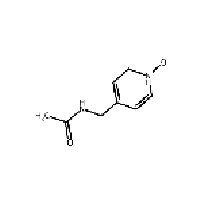 CC(=O)NCC1=CC[NH+]([O-])C=C1